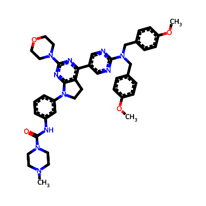 COc1ccc(CN(Cc2ccc(OC)cc2)c2ncc(-c3nc(N4CCOCC4)nc4c3CCN4c3cccc(NC(=O)N4CCN(C)CC4)c3)cn2)cc1